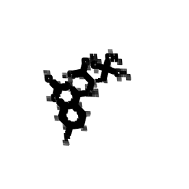 CC(C)(C)C[C@H](Nc1nc(=O)oc2cc(F)ccc12)C(=O)O